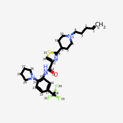 C=CCCCN1CCC(c2nc(C(=O)Nc3cc(C(F)(F)F)ccc3N3CCCC3)cs2)CC1